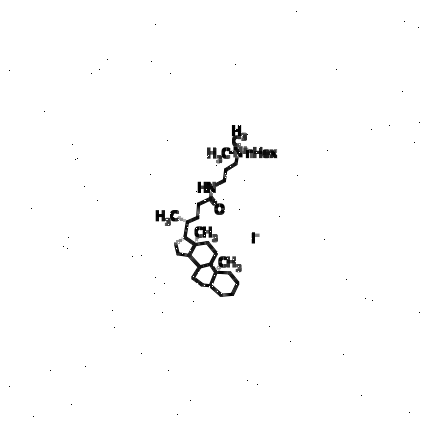 CCCCCC[N+](C)(C)CCCNC(=O)CC[C@@H](C)[C@H]1CCC2C3CCC4CCCC[C@]4(C)C3CC[C@@]21C.[I-]